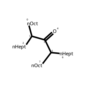 CCCCCCCCC(CCCCCCC)C(=O)C(CCCCCCC)CCCCCCCC